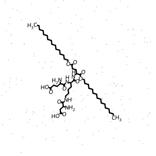 CCCCCCCCCCCCCCCCOC(=O)CCC(NC(=O)C(CCCCNC(=O)C(N)CC(=O)O)NC(=O)C(N)CCC(=O)O)C(=O)OCCCCCCCCCCCCCCCC